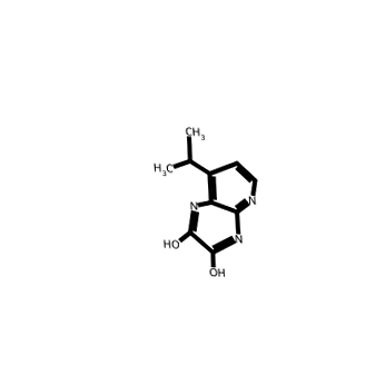 CC(C)c1ccnc2nc(O)c(O)nc12